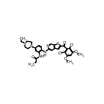 C=CC(=O)Nc1cc(N2CCN(CC)CC2)ccc1Nc1cc2cc(C(=O)c3c(Cl)c(OC)cc(OC)c3Cl)sc2cn1